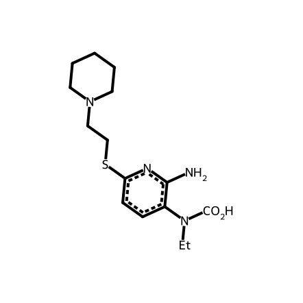 CCN(C(=O)O)c1ccc(SCCN2CCCCC2)nc1N